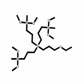 CCOCCC[Si](CCC[Si](C)(OC)OC)(CCC[Si](C)(OC)OC)CCC[Si](C)(OC)OC